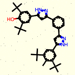 Cc1c(C(C)(C)C)cc(-c2cc(-c3cccc(-c4cc(-c5cc(C(C)(C)C)c(O)c(C(C)(C)C)c5)[nH]n4)c3)n[nH]2)cc1C(C)(C)C